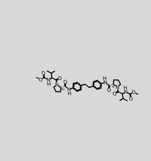 COC(=O)NC(C(=O)N1CCC[C@H]1C(=O)Nc1ccc(CCc2ccc(NC(=O)[C@@H]3CCCN3C(=O)C(NC(=O)OC)C(C)C)cc2)cc1)C(C)C